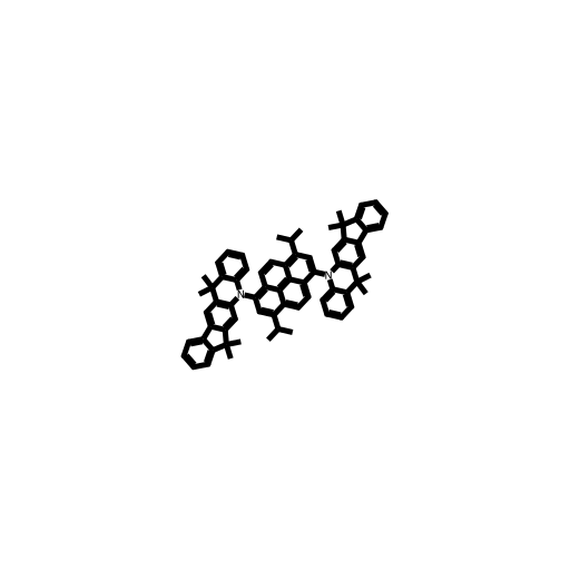 CC(C)c1cc(N2c3ccccc3C(C)(C)c3cc4c(cc32)C(C)(C)c2ccccc2-4)c2ccc3c(C(C)C)cc(N4c5ccccc5C(C)(C)c5cc6c(cc54)C(C)(C)c4ccccc4-6)c4ccc1c2c34